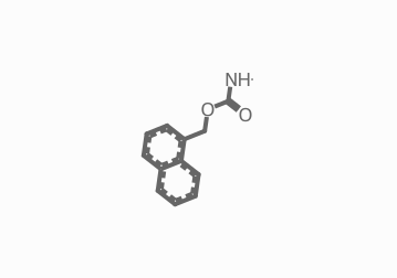 [NH]C(=O)OCc1cccc2ccccc12